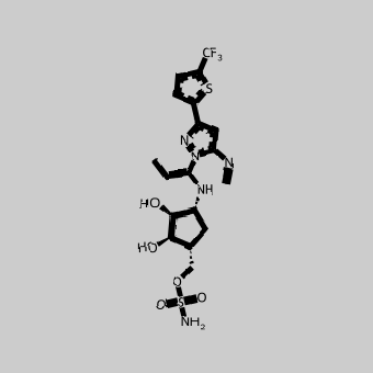 C=Nc1cc(-c2ccc(C(F)(F)F)s2)nn1/C(=C\C)N[C@@H]1C[C@H](COS(N)(=O)=O)[C@@H](O)[C@H]1O